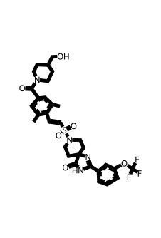 Cc1cc(C(=O)N2CCC(CO)CC2)cc(C)c1/C=C/S(=O)(=O)N1CCC2(CC1)N=C(c1cccc(OC(F)(F)F)c1)NC2=O